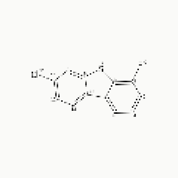 Fc1cccc2c1sc1cc(Cl)ccc12